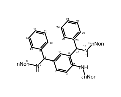 CCCCCCCCCNc1ccc(C(NCCCCCCCCC)c2ccccc2)cc1C(NCCCCCCCCC)c1ccccc1